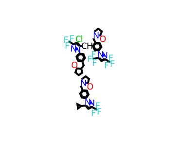 Cc1c(Cl)c(C(F)(F)F)nn1-c1ccc(CC2CCCC2=O)cc1.O=C1CCCN1Cc1ccc(-n2nc(C(F)(F)F)cc2C(F)(F)F)cc1.O=C1CCCN1Cc1ccc(-n2nc(C(F)(F)F)cc2C2CC2)cc1